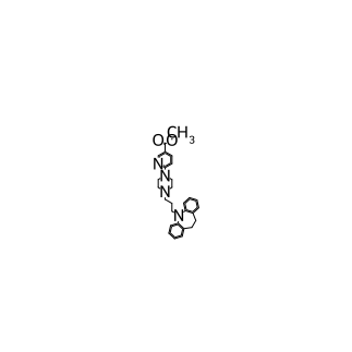 COC(=O)c1ccc(N2CCN(CCCN3c4ccccc4CCc4ccccc43)CC2)nc1